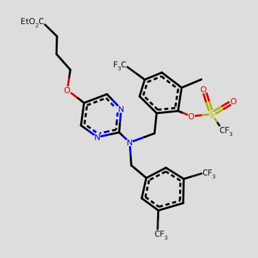 CCOC(=O)CCCOc1cnc(N(Cc2cc(C(F)(F)F)cc(C(F)(F)F)c2)Cc2cc(C(F)(F)F)cc(C)c2OS(=O)(=O)C(F)(F)F)nc1